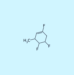 CC1C=C(F)CC(F)C1F